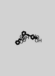 O=C(O)c1ccc(C#Cc2ccccc2NS(=O)(=O)c2cc3ccccc3o2)cn1